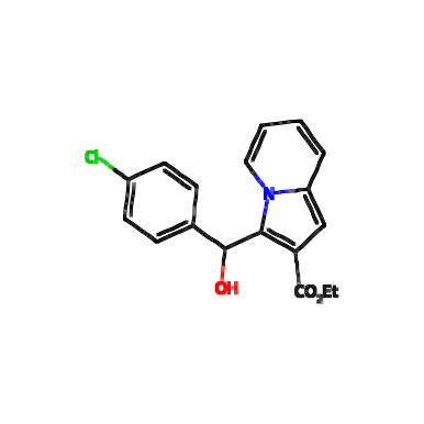 CCOC(=O)c1cc2ccccn2c1C(O)c1ccc(Cl)cc1